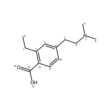 CCc1cc(CCN(C)C)ccc1C(=O)O